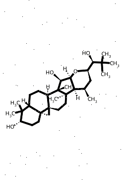 C[C@@H]1C[C@H]([C@@H](O)C(C)(C)C)O[C@H]2[C@@H]1[C@@]1(C)CC[C@@]34C[C@@]35CC[C@H](O)C(C)(C)[C@@H]5CC[C@H]4[C@]1(C)[C@H]2O